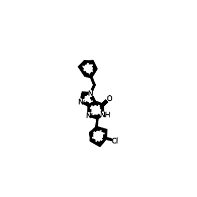 O=c1[nH]c(-c2cccc(Cl)c2)nc2ncn(Cc3ccccc3)c12